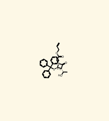 C=CCOC(=O)CN1C(=O)[C@H](C(C)O)[C@H]1SC(c1ccccc1)(c1ccccc1)c1ccccc1